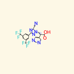 N#Cc1nc(-c2cc(C(F)(F)F)cc(C(F)(F)F)c2)nn1/C=C(/C(=O)O)c1cncnc1